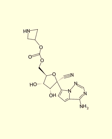 N#C[C@@]1(c2ccc3c(N)ncnn23)O[C@H](COC(=O)OC2CNC2)[C@@H](O)[C@H]1O